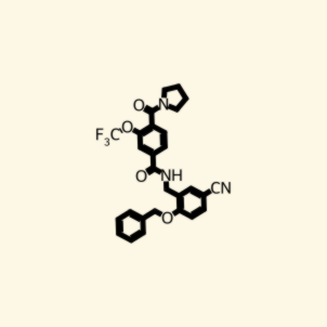 N#Cc1ccc(OCc2ccccc2)c(CNC(=O)c2ccc(C(=O)N3CCCC3)c(OC(F)(F)F)c2)c1